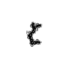 CN(C(=O)C1CCN(C(=O)OC(C)(C)C)CC1)c1cccc(CS(=O)(=O)N2CC[C@@H](Nc3cccc(-c4sc(C(=O)OC(C)(C)C)c(OCC(=O)OC(C)(C)C)c4Cl)c3)CC2(C)C)c1